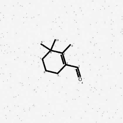 CC1=C([C]=O)CCCC1(C)C